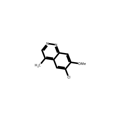 COc1cc2nncc(C)c2cc1Cl